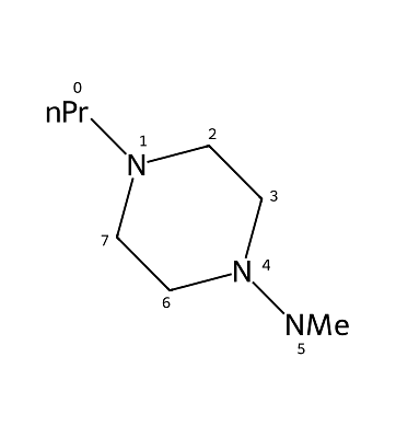 CCCN1CCN(NC)CC1